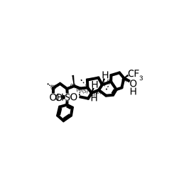 C[C@H](C(C[C@@H](C)O)S(=O)(=O)c1ccccc1)[C@H]1CC[C@H]2[C@@H]3CC=C4C[C@](O)(C(F)(F)F)CC[C@]4(C)[C@H]3CC[C@]12C